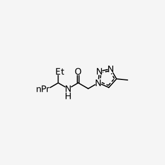 CCCC(CC)NC(=O)Cn1cc(C)nn1